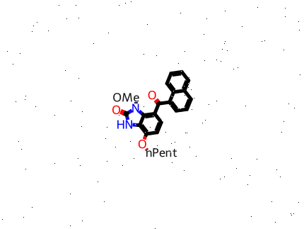 CCCCCOc1ccc(C(=O)c2cccc3ccccc23)c2c1[nH]c(=O)n2OC